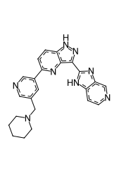 c1cc2[nH]c(-c3n[nH]c4ccc(-c5cncc(CN6CCCCC6)c5)nc34)nc2cn1